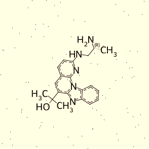 C[C@@H](N)CNc1ccc2cc(C(C)(C)O)c3nc4ccccc4n3c2n1